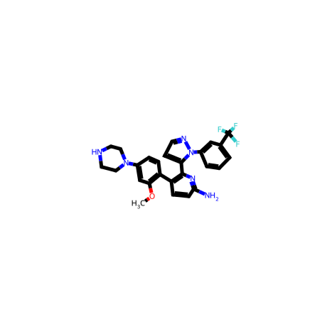 COc1cc(N2CCNCC2)ccc1-c1ccc(N)nc1-c1ccnn1-c1cccc(C(F)(F)F)c1